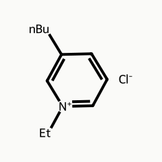 CCCCc1ccc[n+](CC)c1.[Cl-]